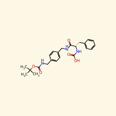 CC(C)(C)OC(=O)NCc1ccc(CNC(=O)[C@H](Cc2ccccc2)NC(=O)O)cc1